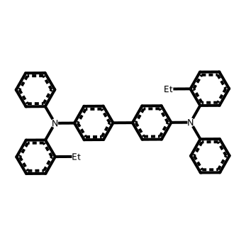 CCc1ccccc1N(c1ccccc1)c1ccc(-c2ccc(N(c3ccccc3)c3ccccc3CC)cc2)cc1